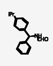 CC(C)c1ccc([C@@H](NC=O)c2ccccc2)cc1